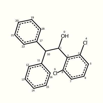 OC(c1c(Cl)cccc1Cl)C(c1ccccc1)c1ccccc1